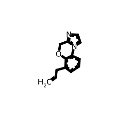 C=CCc1cccc2c1OCc1nccn1-2